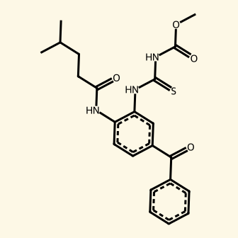 COC(=O)NC(=S)Nc1cc(C(=O)c2ccccc2)ccc1NC(=O)CCC(C)C